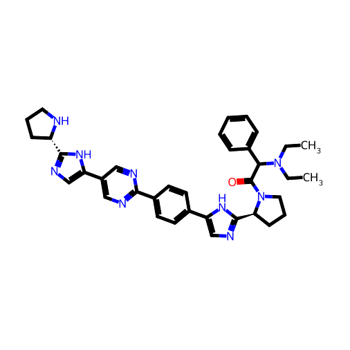 CCN(CC)C(C(=O)N1CCC[C@H]1c1ncc(-c2ccc(-c3ncc(-c4cnc([C@@H]5CCCN5)[nH]4)cn3)cc2)[nH]1)c1ccccc1